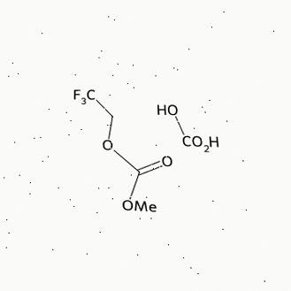 COC(=O)OCC(F)(F)F.O=C(O)O